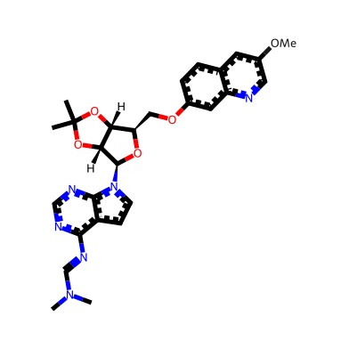 COc1cnc2cc(OC[C@H]3O[C@@H](n4ccc5c(/N=C/N(C)C)ncnc54)[C@@H]4OC(C)(C)O[C@@H]43)ccc2c1